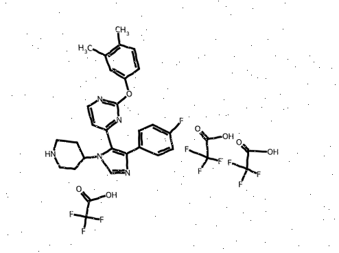 Cc1ccc(Oc2nccc(-c3c(-c4ccc(F)cc4)ncn3C3CCNCC3)n2)cc1C.O=C(O)C(F)(F)F.O=C(O)C(F)(F)F.O=C(O)C(F)(F)F